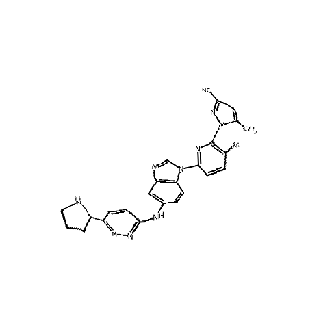 CC(=O)c1ccc(-n2cnc3cc(Nc4ccc(C5CCCN5)nn4)ccc32)nc1-n1nc(C#N)cc1C